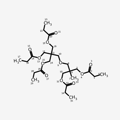 CCC(=O)OCC(C)(COCC(COC(=O)CC)(COC(=O)CC)COC(=O)CC)COC(=O)CC